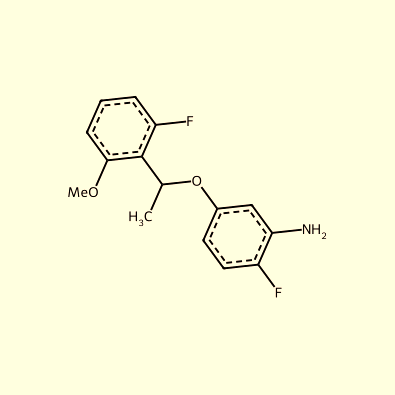 COc1cccc(F)c1C(C)Oc1ccc(F)c(N)c1